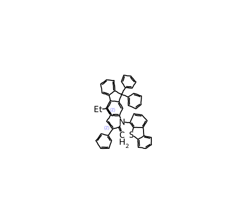 C=C(/C(=C\C=C/CC)c1ccccc1)N(c1ccc2c(c1)C(c1ccccc1)(c1ccccc1)c1ccccc1-2)c1cccc2c1sc1ccccc12